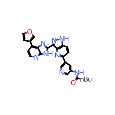 CCCCC(=O)Nc1cncc(-c2ccc3[nH]nc(-c4nc5c(-c6ccoc6)ccnc5[nH]4)c3n2)c1